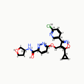 O=C(N[C@H]1CCOC1)c1ccc(OCc2c(-c3ccc(Cl)nc3)noc2C2CC2)nn1